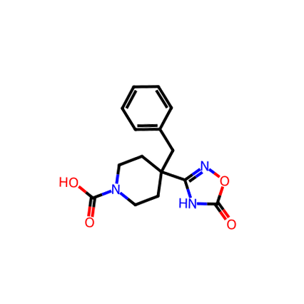 O=C(O)N1CCC(Cc2ccccc2)(c2noc(=O)[nH]2)CC1